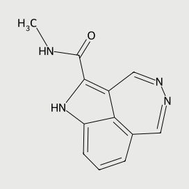 CNC(=O)c1[nH]c2cccc3c2c1C=NN=C3